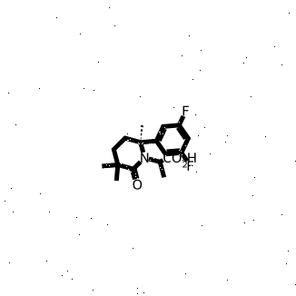 CC(C(=O)O)N1C(=O)C(C)(C)CC[C@@]1(C)c1cc(F)cc(F)c1